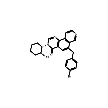 O=c1c2cc(Cc3ccc(Br)cc3)c3cnccc3c2ncn1[C@H]1CCCC[C@@H]1O